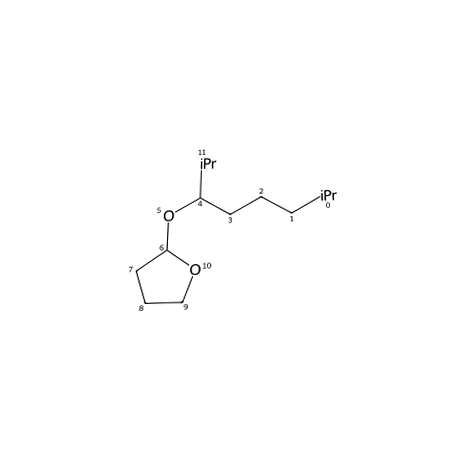 CC(C)CCCC(OC1CCCO1)C(C)C